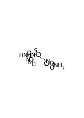 CNC(=O)c1nnc(Cl)cc1Nc1cc(CCc2cccc(OC(N)=O)n2)ccc1SC